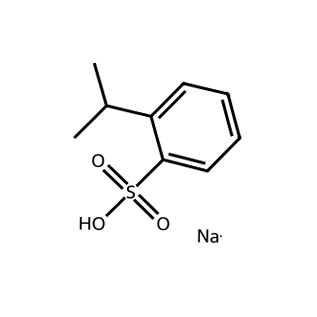 CC(C)c1ccccc1S(=O)(=O)O.[Na]